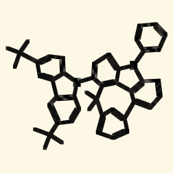 CC(C)(C)c1ccc2c(c1)c1cc(C(C)(C)C)ccc1n2-c1ccc2c3c1C(C)(C)c1cccc(c1)-c1cccc(c13)n2-c1ccccc1